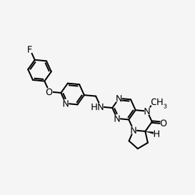 CN1C(=O)[C@@H]2CCCN2c2nc(NCc3ccc(Oc4ccc(F)cc4)nc3)ncc21